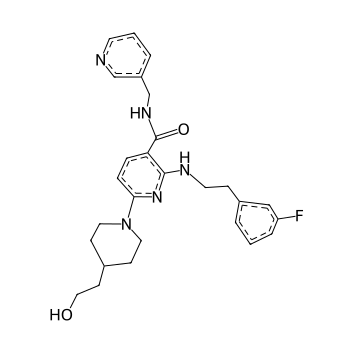 O=C(NCc1cccnc1)c1ccc(N2CCC(CCO)CC2)nc1NCCc1cccc(F)c1